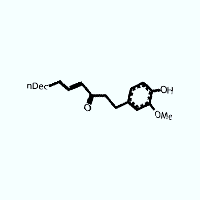 CCCCCCCCCCCC=CC(=O)CCc1ccc(O)c(OC)c1